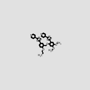 CCCOc1ccc(-c2nc(-c3ccncc3)no2)cc1COc1cc(OC)c(OC)cc1-c1nc(-c2ccncc2)no1